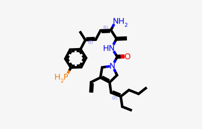 C=CC1=C(/C=C(/CC)CCC)CN(C(=O)NC(=C)/C(N)=C\C=C(/C)c2ccc(P)cc2)C1